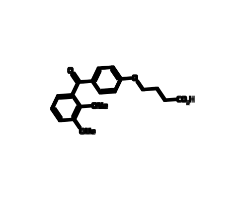 COc1cccc(C(=O)c2ccc(OCCCC(=O)O)cc2)c1OC